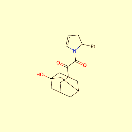 CCC1CC=CN1C(=O)C(=O)C12CC3CC(CC(O)(C3)C1)C2